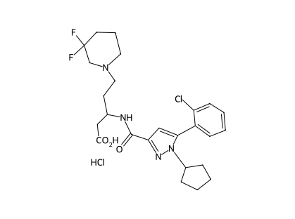 Cl.O=C(O)CC(CCN1CCCC(F)(F)C1)NC(=O)c1cc(-c2ccccc2Cl)n(C2CCCC2)n1